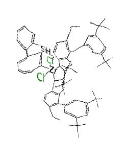 CCc1ccc2c(c1-c1cc(C(C)(C)C)cc(C(C)(C)C)c1)C=C(C(C)(C)C)[CH]2[Zr]([Cl])([Cl])([c]1cccc2c1[SiH2]c1ccccc1-2)[CH]1C(C(C)(C)C)=Cc2c1ccc(CC)c2-c1cc(C(C)(C)C)cc(C(C)(C)C)c1